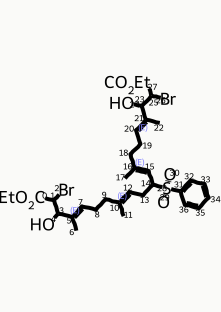 CCOC(=O)C(Br)C(O)/C(C)=C/CC/C(C)=C/CC(/C=C(\C)CC/C=C(\C)C(O)C(Br)C(=O)OCC)S(=O)(=O)c1ccccc1